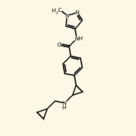 Cn1cc(NC(=O)c2ccc(C3CC3NCC3CC3)cc2)cn1